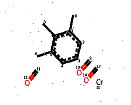 Cc1cccc(C)c1C.[C]=O.[C]=O.[C]=O.[Cr]